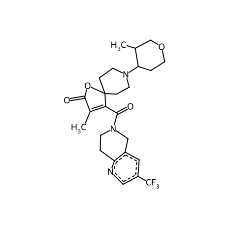 CC1=C(C(=O)N2CCc3ncc(C(F)(F)F)cc3C2)C2(CCN(C3CCOCC3C)CC2)OC1=O